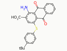 CC(C)(C)c1ccc(Sc2cc(C(=O)O)c(N)c3c2C(=O)c2ccccc2C3=O)cc1